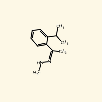 CN/N=C(/C)c1ccccc1C(C)C